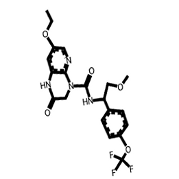 CCOc1cnc2c(c1)NC(=O)CN2C(=O)NC(COC)c1ccc(OC(F)(F)F)cc1